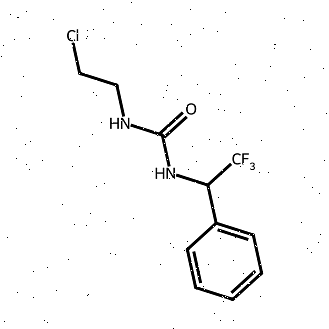 O=C(NCCCl)NC(c1ccccc1)C(F)(F)F